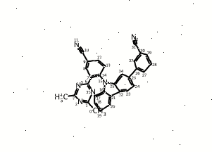 Cc1nc(C)nc(-c2cc(C#N)ccc2-n2c3ccccc3c3ccc(-c4cccc(C#N)c4)cc32)n1